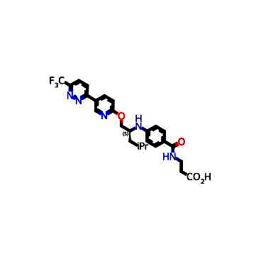 CC(C)C[C@@H](COc1ccc(-c2ccc(C(F)(F)F)nn2)cn1)Nc1ccc(C(=O)NCCC(=O)O)cc1